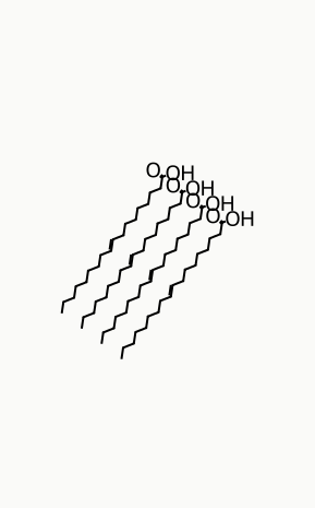 CCCCCCCCC=CCCCCCCCC(=O)O.CCCCCCCCC=CCCCCCCCC(=O)O.CCCCCCCCC=CCCCCCCCC(=O)O.CCCCCCCCC=CCCCCCCCC(=O)O